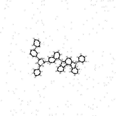 c1ccc(-c2cccc(-c3nc(-c4ccccc4)cc(-c4ccc5c(-n6c7ccccc7c7c8c9ccccc9n(-c9ccccc9)c8ccc76)cccc5c4)n3)c2)cc1